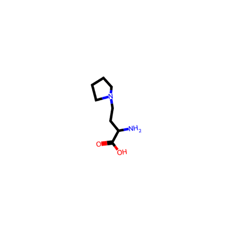 NC(CCN1CCCC1)C(=O)O